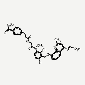 CNC(=O)c1ccc(C=CC(=O)NCC(=O)N(C)c2ccc(Cl)c(COc3cccc4c(OCC(=O)O)cc(C)nc34)c2Cl)cc1